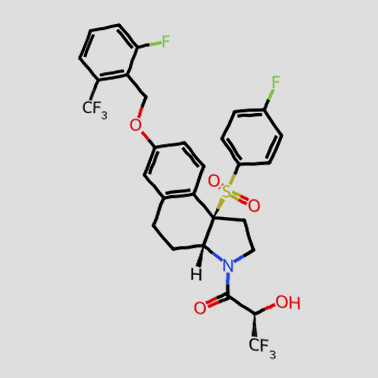 O=C([C@@H](O)C(F)(F)F)N1CC[C@@]2(S(=O)(=O)c3ccc(F)cc3)c3ccc(OCc4c(F)cccc4C(F)(F)F)cc3CC[C@@H]12